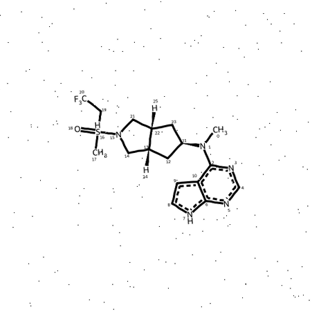 CN(c1ncnc2[nH]ccc12)[C@H]1C[C@@H]2CN([SH](C)(=O)CC(F)(F)F)C[C@@H]2C1